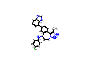 CC1=C2c3ccc(-c4cccc5[nH]cnc45)cc3C(Nc3ccc(Cl)cc3)CCN2NN1